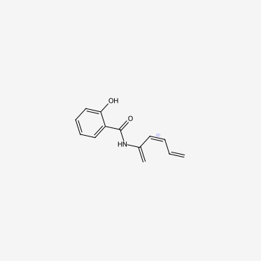 C=C/C=C\C(=C)NC(=O)c1ccccc1O